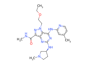 CCOCCn1nc(C(=O)NC)c2nc(N[C@H]3CCN(C)C3)nc(Nc3cc(C)ccn3)c21